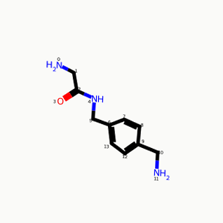 NCC(=O)NCc1ccc(CN)cc1